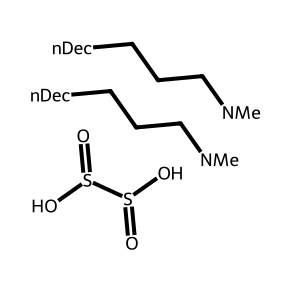 CCCCCCCCCCCCCNC.CCCCCCCCCCCCCNC.O=S(O)S(=O)O